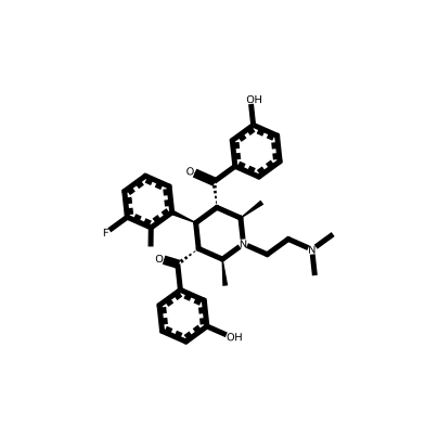 Cc1c(F)cccc1[C@@H]1[C@@H](C(=O)c2cccc(O)c2)[C@H](C)N(CCN(C)C)[C@H](C)[C@H]1C(=O)c1cccc(O)c1